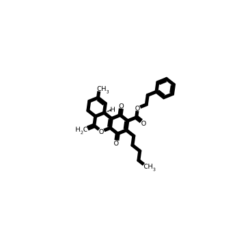 C=C1OC2=C(C(=O)C(C(=O)OCCc3ccccc3)=C(CCCCC)C2=O)[C@@H]2C=C(C)CCC12